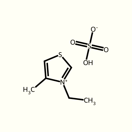 CC[n+]1cscc1C.O=S(=O)([O-])O